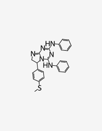 CSc1ccc(C2CN=C3N=C(Nc4ccccc4)N=C(Nc4ccccc4)N32)cc1